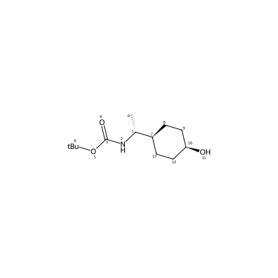 C[C@@H](NC(=O)OC(C)(C)C)[C@H]1CC[C@@H](O)CC1